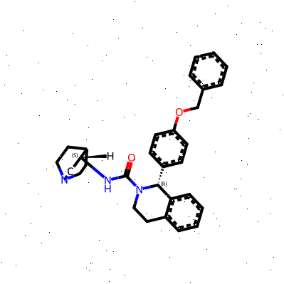 O=C(N[C@@H]1CN2CCC1CC2)N1CCc2ccccc2[C@H]1c1ccc(OCc2ccccc2)cc1